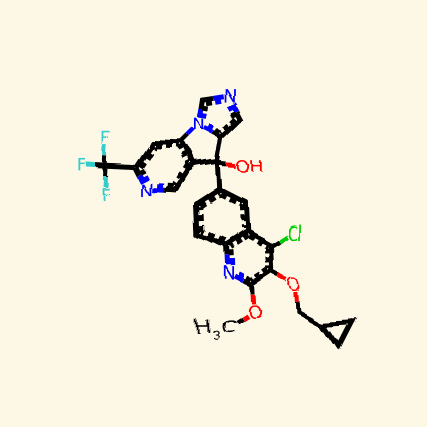 COc1nc2ccc(C3(O)c4cnc(C(F)(F)F)cc4-n4cncc43)cc2c(Cl)c1OCC1CC1